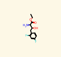 CCOC(=O)C(N)C(O)Cc1ccc(F)cc1F